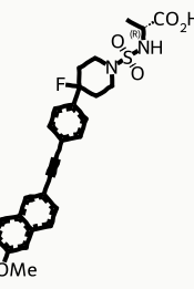 COc1ccc2cc(C#Cc3ccc(C4(F)CCN(S(=O)(=O)N[C@H](C)C(=O)O)CC4)cc3)ccc2c1